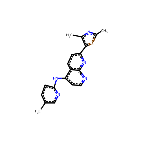 Cc1nc(C)c(-c2ccc3c(Nc4ccc(C(F)(F)F)cn4)ccnc3n2)s1